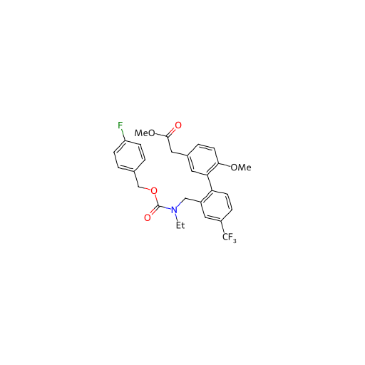 CCN(Cc1cc(C(F)(F)F)ccc1-c1cc(CC(=O)OC)ccc1OC)C(=O)OCc1ccc(F)cc1